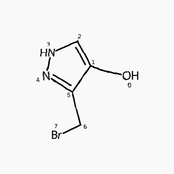 Oc1c[nH]nc1CBr